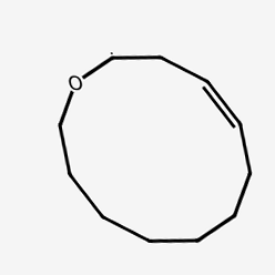 [CH]1CC=CCCCCCCCO1